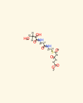 COC(=O)CCC(=O)CC(=O)SCCNC(=O)CCNC(=O)[C@H](O)C(C)(C)CO